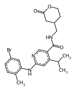 Cc1ccc(Br)cc1Nc1cc(C(C)C)c(C(=O)NCC2CCOC(=O)C2)cn1